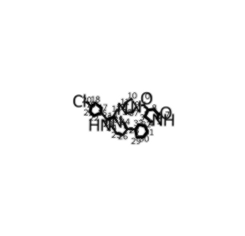 O=C(c1cc[nH]c(=O)c1)N1CCN(CC2=C(c3ccc(Cl)cc3)NC3C=CC(c4ccccc4)=CN23)CC1